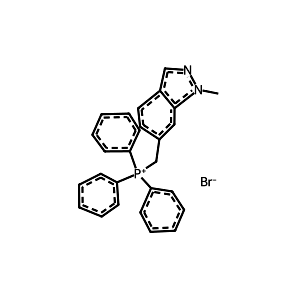 Cn1ncc2ccc(C[P+](c3ccccc3)(c3ccccc3)c3ccccc3)cc21.[Br-]